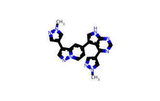 Cn1cc(-c2ncnc3[nH]cc(-c4ccn5ncc(-c6cnn(C)c6)c5c4)c23)cn1